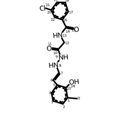 Cc1cccc(C=CNNC(=O)CNC(=O)c2cccc(Cl)c2)c1O